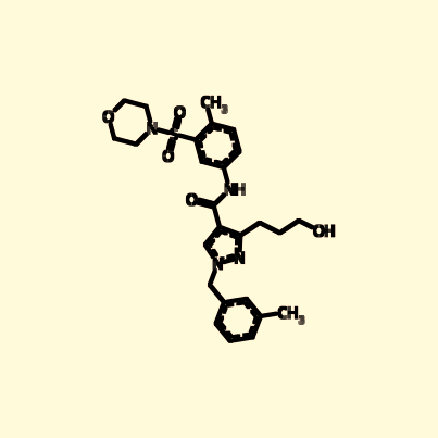 Cc1cccc(Cn2cc(C(=O)Nc3ccc(C)c(S(=O)(=O)N4CCOCC4)c3)c(CCCO)n2)c1